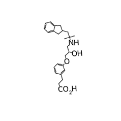 CC(C)(CC1Cc2ccccc2C1)NCC(O)COc1cccc(CCC(=O)O)c1